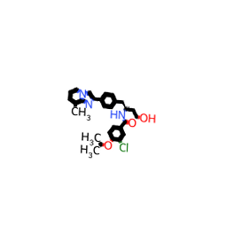 Cc1cccn2cc(-c3ccc(C[C@@H](CCO)NC(=O)c4ccc(OC(C)C)c(Cl)c4)cc3)nc12